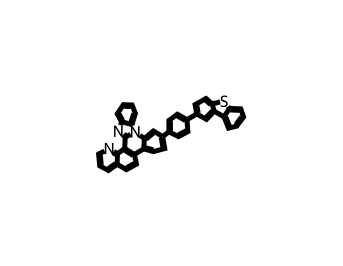 c1cnc2c(c1)ccc1c3ccc(-c4ccc(-c5ccc6sc7ccccc7c6c5)cc4)cc3n3c4ccccc4nc3c12